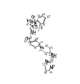 C[C@@](CNC(=O)c1ccc(N2CCC(Nc3ncccn3)CC2)cc1)(NS(=O)(=O)c1ccccc1)C(=O)O